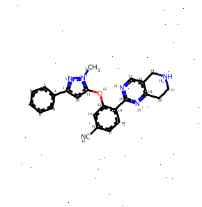 Cn1nc(-c2ccccc2)cc1Oc1cc(C#N)ccc1-c1ncc2c(n1)CCNC2